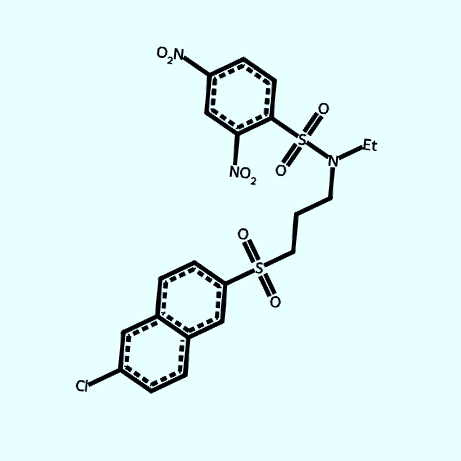 CCN(CCCS(=O)(=O)c1ccc2cc(Cl)ccc2c1)S(=O)(=O)c1ccc([N+](=O)[O-])cc1[N+](=O)[O-]